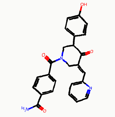 NC(=O)c1ccc(C(=O)N2CC(=Cc3ccccn3)C(=O)C(c3ccc(O)cc3)C2)cc1